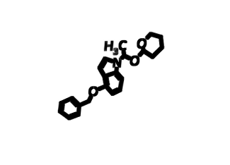 CC(OC1CCCCO1)n1ccc2c(OCc3ccccc3)cccc21